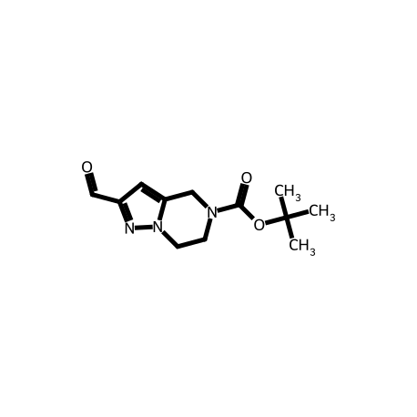 CC(C)(C)OC(=O)N1CCn2nc(C=O)cc2C1